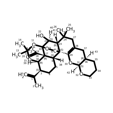 C=C(C)[C@@H]1CC[C@H]2[C@@]34COC5(OC(C)(C)O[C@H]1[C@@]25C(C)=O)[C@@H](O)[C@@H]3C(C)(C)CC1=C4O[C@@H]2OCCC[C@@H]2C1